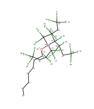 CCCCCCC[O][Sn]([C](F)(F)C(F)(F)CC(F)(F)F)([C](F)(F)C(F)(F)CC(F)(F)F)[C](F)(F)C(F)(F)CC(F)(F)F